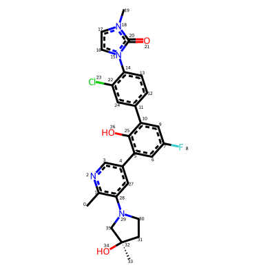 Cc1ncc(-c2cc(F)cc(-c3ccc(-n4ccn(C)c4=O)c(Cl)c3)c2O)cc1N1CC[C@@](C)(O)C1